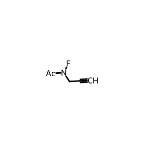 C#CCN(F)C(C)=O